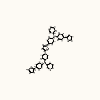 c1cncc(N(c2ccc(-c3ccc(-c4ccc(N(c5ccc(-c6cccs6)cc5)c5cccnc5)cc4)o3)cc2)c2ccc(-c3cccs3)cc2)c1